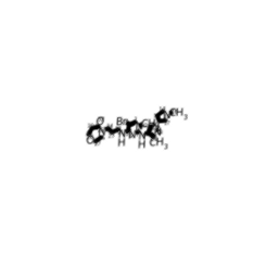 C=N/C=C(Br)\C(=N/CNc1cn(C2CCN(C)C2)nc1C)NCCCN1CCOCCC1=O